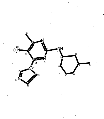 Cc1nc(NC2CCCC(C)C2)nc(-n2ccnc2)c1[N+](=O)[O-]